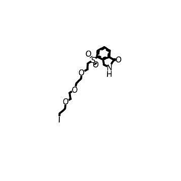 O=C1NCc2c1cccc2S(=O)(=O)CCOCCOCCOCCI